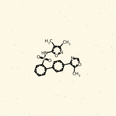 Cc1noc(NS(=O)(=O)c2ccccc2-c2ccc(-c3ncoc3C)cc2)c1C